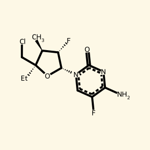 CC[C@@]1(CCl)O[C@@H](n2cc(F)c(N)nc2=O)[C@@H](F)[C@@H]1C